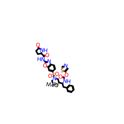 COC(CN(CC(C)C)S(=O)(=O)c1ccc2nc(NC(=O)C3CCC(=O)N3)oc2c1)C(Cc1ccccc1)NC(=O)Oc1cncs1